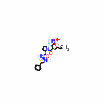 CCCC[C@@H](C(=O)N1CCC[C@H]1C(=O)NN1NC=C(c2ccccc2)S1)[C@H](F)C(=O)NO